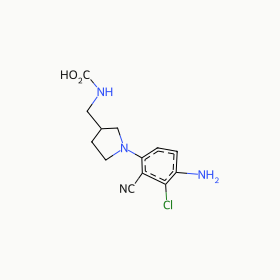 N#Cc1c(N2CCC(CNC(=O)O)C2)ccc(N)c1Cl